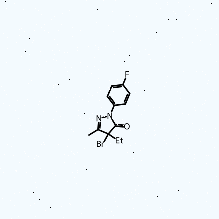 CCC1(Br)C(=O)N(c2ccc(F)cc2)N=C1C